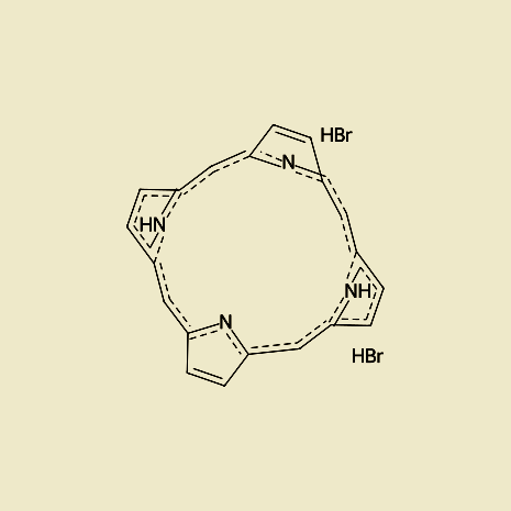 Br.Br.C1=Cc2cc3ccc(cc4nc(cc5ccc(cc1n2)[nH]5)C=C4)[nH]3